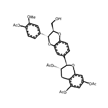 COc1cc([C@H]2Oc3cc([C@H]4Oc5cc(OC(C)=O)cc(OC(C)=O)c5C[C@@H]4OC(C)=O)ccc3O[C@@H]2CO)ccc1OC(C)=O